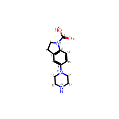 O=C(O)N1CCc2cc(N3CCNCC3)ccc21